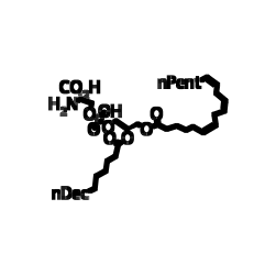 CCCCC/C=C\C/C=C\C/C=C\CCCCC(=O)OC[C@H](COP(=O)(O)OC[C@H](N)C(=O)O)OC(=O)CCCCCCCCCCCCCCC